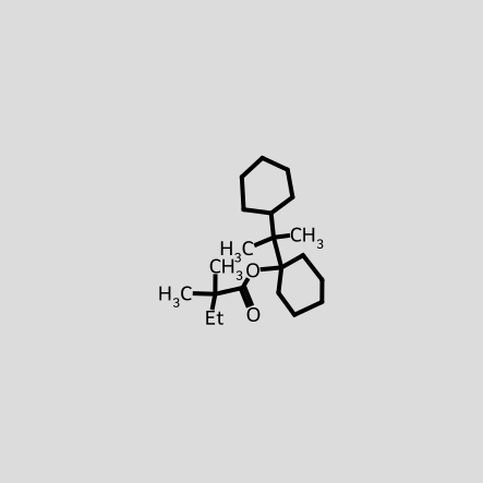 CCC(C)(C)C(=O)OC1(C(C)(C)C2CCCCC2)CCCCC1